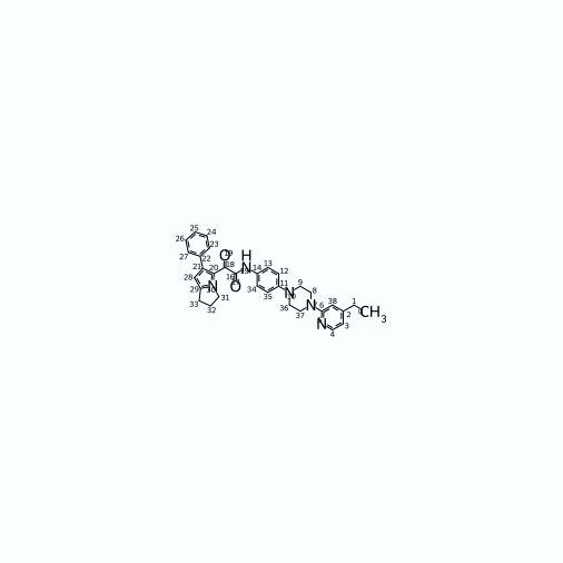 CCc1ccnc(N2CCN(c3ccc(NC(=O)C(=O)c4c(-c5ccccc5)cc5n4CCC5)cc3)CC2)c1